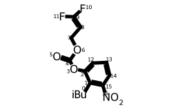 CCC(C)c1c(OC(=O)OCC=C(F)F)cccc1[N+](=O)[O-]